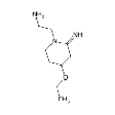 CCOC1CCN(CCN)C(=N)C1